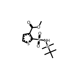 COC(=O)c1ccsc1S(=O)(=O)N[Si](C)(C)C(C)(C)C